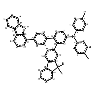 Cc1ccc(N(c2ccc(C)cc2)c2ccc(-c3ccc(-c4cccc5c4sc4ccccc45)cc3)c(-c3ccc4c(c3)C(C)(C)c3ccccc3-4)c2)cc1